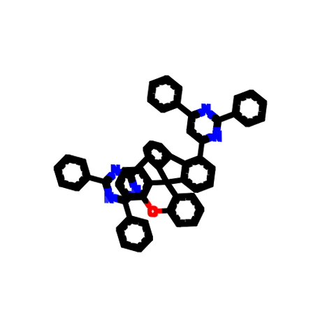 c1ccc(-c2cc(-c3cccc4c3-c3cccc(-c5nc(-c6ccccc6)nc(-c6ccccc6)n5)c3C43c4ccccc4Oc4ccccc43)nc(-c3ccccc3)n2)cc1